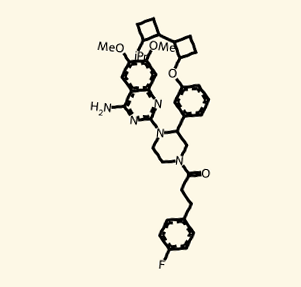 COc1cc2nc(N3CCN(C(=O)CCc4ccc(F)cc4)CC3c3cccc(OC4CCC4C4CCC4C(C)C)c3)nc(N)c2cc1OC